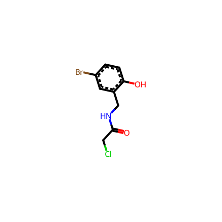 O=C(CCl)NCc1cc(Br)ccc1O